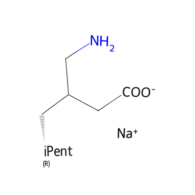 CCC[C@@H](C)CC(CN)CC(=O)[O-].[Na+]